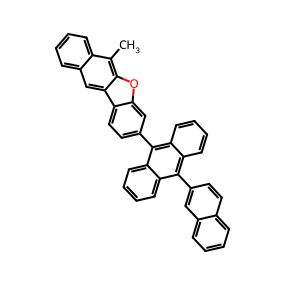 Cc1c2ccccc2cc2c1oc1cc(-c3c4ccccc4c(-c4ccc5ccccc5c4)c4ccccc34)ccc12